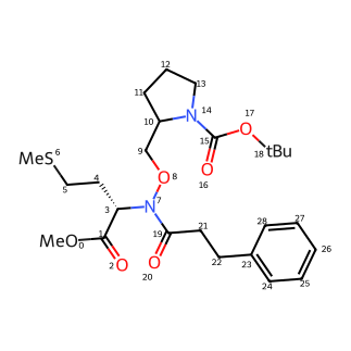 COC(=O)[C@H](CCSC)N(OCC1CCCN1C(=O)OC(C)(C)C)C(=O)CCc1ccccc1